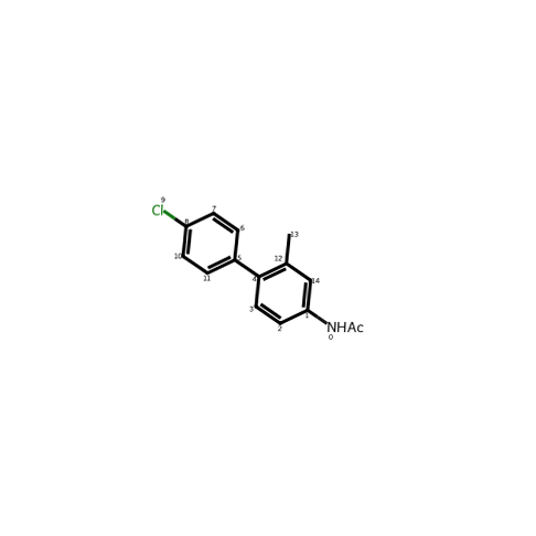 CC(=O)Nc1ccc(-c2ccc(Cl)cc2)c(C)c1